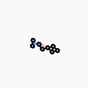 c1cc(-c2ccc3c(c2)c2cccc4c5ccccc5c5cccc3c5c42)c2oc3ccc(-n4c5ccccc5c5ccccc54)cc3c2c1